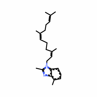 CC(C)=CCCC(C)=CCCC(C)=CCn1c(C)nc2c(C)cccc21